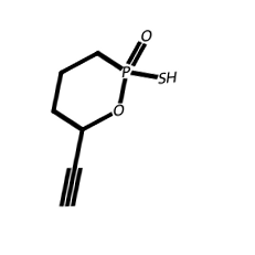 C#CC1CCCP(=O)(S)O1